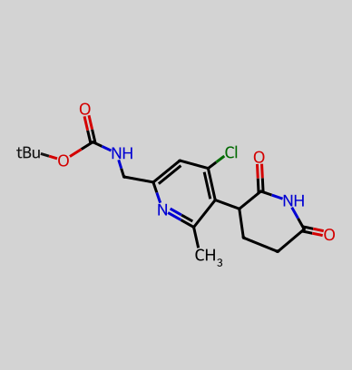 Cc1nc(CNC(=O)OC(C)(C)C)cc(Cl)c1C1CCC(=O)NC1=O